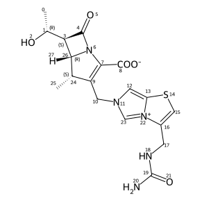 C[C@@H](O)[C@H]1C(=O)N2C(C(=O)[O-])=C(Cn3cc4scc(CNC(N)=O)[n+]4c3)[C@H](C)[C@H]12